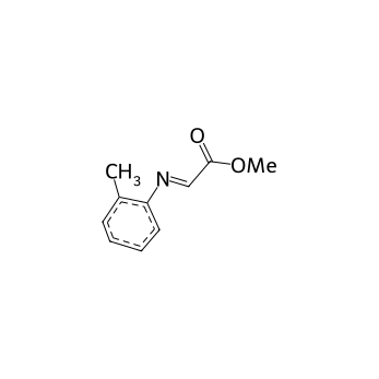 COC(=O)C=Nc1ccccc1C